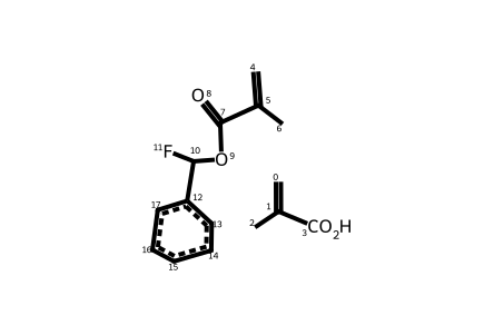 C=C(C)C(=O)O.C=C(C)C(=O)OC(F)c1ccccc1